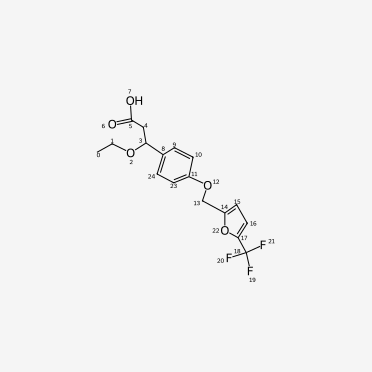 CCOC(CC(=O)O)c1ccc(OCc2ccc(C(F)(F)F)o2)cc1